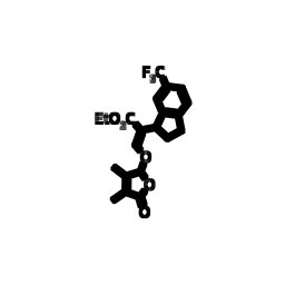 CCOC(=O)/C(=C/OC1OC(=O)C(C)=C1C)C1CCc2ccc(C(F)(F)F)cc21